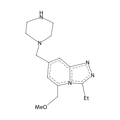 CCc1nnc2cc(CN3CCNCC3)cc(COC)n12